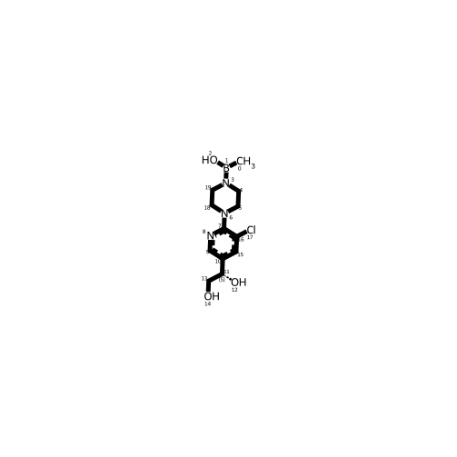 CB(O)N1CCN(c2ncc([C@H](O)CO)cc2Cl)CC1